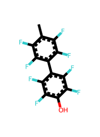 Cc1c(F)c(F)c(-c2c(F)c(F)c(O)c(F)c2F)c(F)c1F